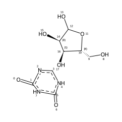 O=c1nc[nH]c(=O)[nH]1.OC[C@H]1OC(O)[C@H](O)[C@@H]1O